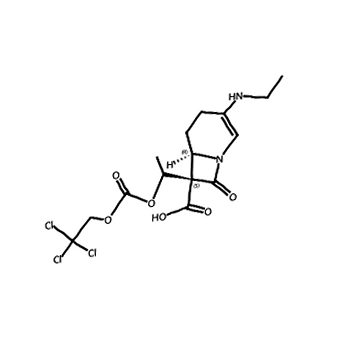 CCNC1=CN2C(=O)[C@@](C(=O)O)(C(C)OC(=O)OCC(Cl)(Cl)Cl)[C@H]2CC1